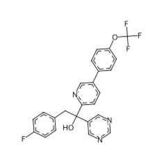 OC(Cc1ccc(F)cc1)(c1cncnc1)c1ccc(-c2ccc(OC(F)(F)F)cc2)cn1